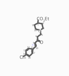 CCOC(=O)C1CCN(CCC(=O)/C=C/c2ccc(Cl)cc2)CC1